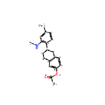 CCNc1cc(OC)ccc1[C@@H]1CCc2cc(OC(=O)C(C)(C)C)ccc2C1